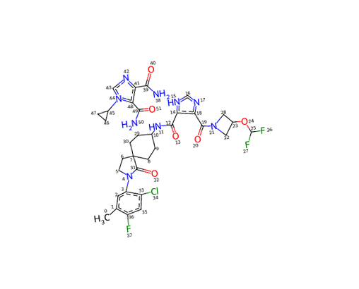 Cc1cc(N2CCC3(CCC(NC(=O)c4[nH]cnc4C(=O)N4CC(OC(F)F)C4)CC3)C2=O)c(Cl)cc1F.NC(=O)c1ncn(C2CC2)c1C(N)=O